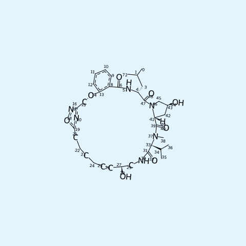 CC(C)C[C@H]1NC(=O)c2ccccc2OCc2noc(n2)CCCCCC[C@H](O)CNC(=O)[C@H](C(C)C)N(C)C(=O)[C@H]2C[C@H](O)CN2C1=O